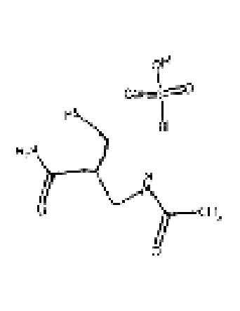 CC(=O)NCC(CS)C(N)=O.O=S(=O)(O)O